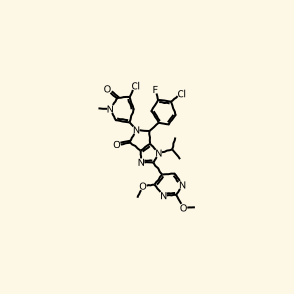 COc1ncc(-c2nc3c(n2C(C)C)C(c2ccc(Cl)c(F)c2)N(c2cc(Cl)c(=O)n(C)c2)C3=O)c(OC)n1